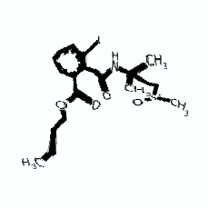 CCCCOC(=O)c1cccc(I)c1C(=O)NC(C)(C)C[S+](C)[O-]